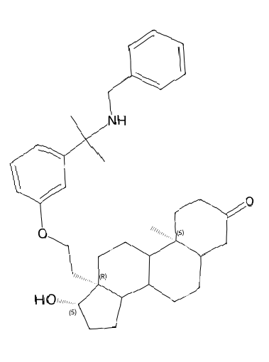 CC(C)(NCc1ccccc1)c1cccc(OCC[C@]23CCC4C(CCC5CC(=O)CC[C@@]54C)C2CC[C@@H]3O)c1